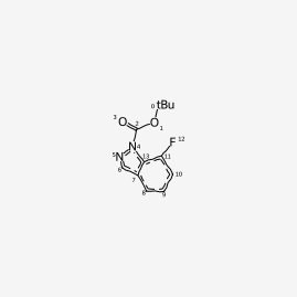 CC(C)(C)OC(=O)n1ncc2cccc(F)c21